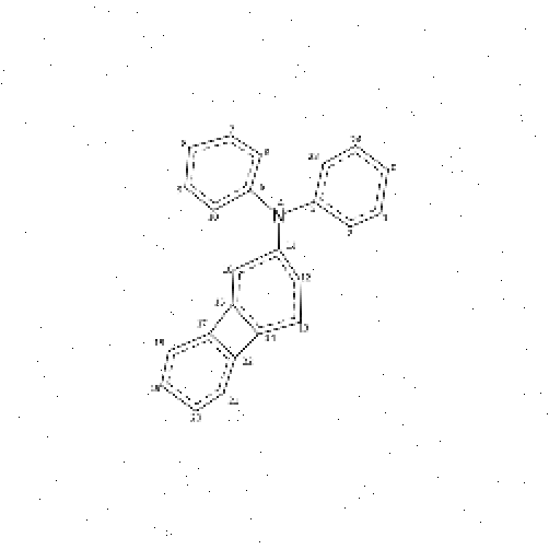 c1ccc(N(c2ccccc2)c2ccc3c(c2)-c2ccccc2-3)cc1